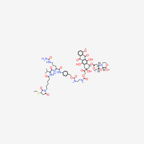 CCSC1CC(=O)N(CCCCCC(=O)N[C@H](C(=O)N[C@@H](CCCNC(N)=O)C(=O)Nc2ccc(COC(=O)N(C)CCN(C)C(=O)OCC(=O)[C@]3(O)Cc4c(O)c5c(c(O)c4[C@@H](O[C@H]4C[C@H]6[C@H](O[C@@H]7[C@@H](OC)OCCN76)[C@H](C)O4)C3)C(=O)c3c(OC)cccc3C5=O)cc2)C(C)C)C1=O